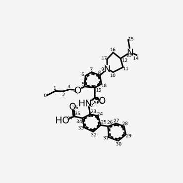 CCCCOc1ccc(N2CCC(N(C)C)CC2)cc1C(=O)Nc1cc(-c2ccccc2)ccc1C(=O)O